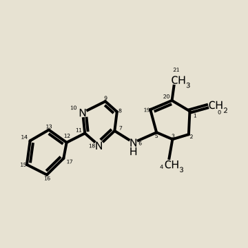 C=C1CC(C)C(Nc2ccnc(-c3ccccc3)n2)C=C1C